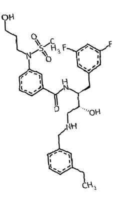 CCc1cccc(CNC[C@@H](O)[C@H](Cc2cc(F)cc(F)c2)NC(=O)c2cccc(N(CCCO)S(C)(=O)=O)c2)c1